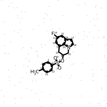 Cc1ccc(S(=O)(=O)OC2Cc3cc(F)cc4ccn(c34)C2)cc1